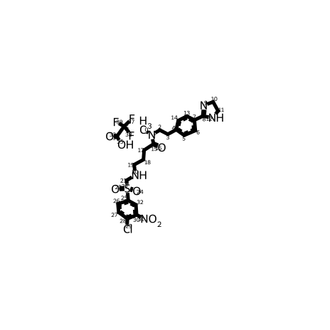 CN(CCc1ccc(C2=NCCN2)cc1)C(=O)CCCNCS(=O)(=O)c1ccc(Cl)c([N+](=O)[O-])c1.O=C(O)C(F)(F)F